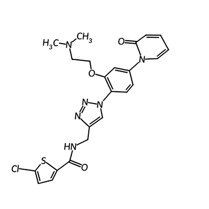 CN(C)CCOc1cc(-n2ccccc2=O)ccc1-n1cc(CNC(=O)c2ccc(Cl)s2)nn1